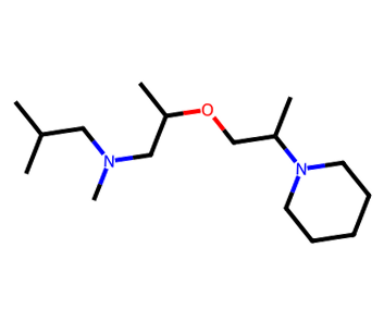 CC(C)CN(C)CC(C)OCC(C)N1CCCCC1